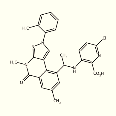 Cc1cc(C(C)Nc2ccc(Cl)nc2C(=O)O)c2c(c1)c(=O)n(C)c1nn(-c3ccccc3C)cc21